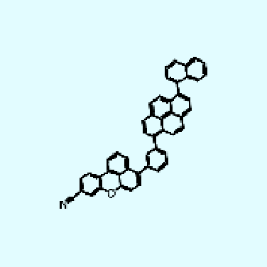 N#Cc1ccc2c(c1)Oc1ccc(-c3cccc(-c4ccc5ccc6c(-c7cccc8ccccc78)ccc7ccc4c5c76)c3)c3cccc-2c13